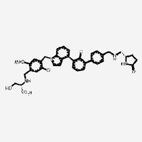 COc1cc(Cn2ccc3c(-c4cccc(-c5ccc(CNC[C@@H]6CCC(=O)N6)cc5)c4Cl)cccc32)c(Cl)cc1CN[C@@H](CO)C(=O)O